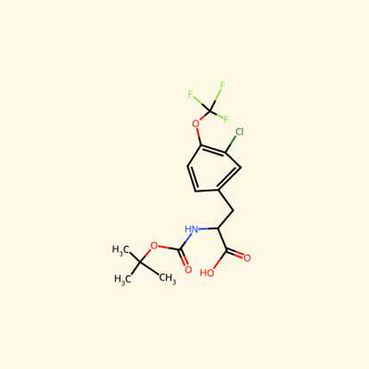 CC(C)(C)OC(=O)NC(Cc1ccc(OC(F)(F)F)c(Cl)c1)C(=O)O